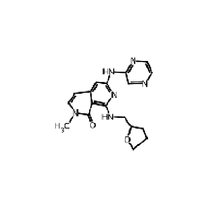 Cn1ccc2cc(Nc3cnccn3)nc(NCC3CCCO3)c2c1=O